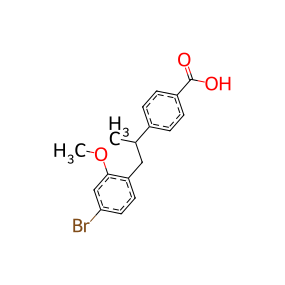 COc1cc(Br)ccc1CC(C)c1ccc(C(=O)O)cc1